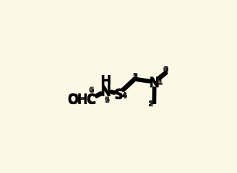 CN(C)CSNC=O